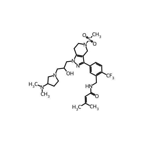 CC(C)=CC(=O)NCc1cc(-c2nn(CC(O)CN3CCC(N(C)C)C3)c3c2CN(S(C)(=O)=O)CC3)ccc1C(F)(F)F